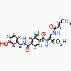 C/C=C/C(=O)NC[C@H](NC(=O)c1ccc(C(=O)NCc2cccc(O)c2)cc1Cl)C(=O)O